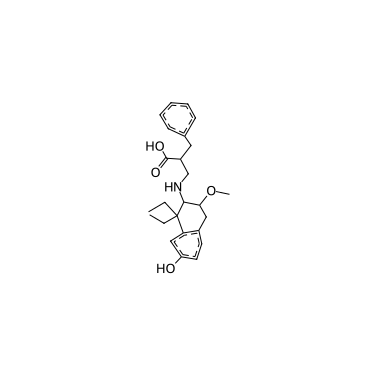 CCC1(CC)c2cc(O)ccc2CC(OC)C1NCC(Cc1ccccc1)C(=O)O